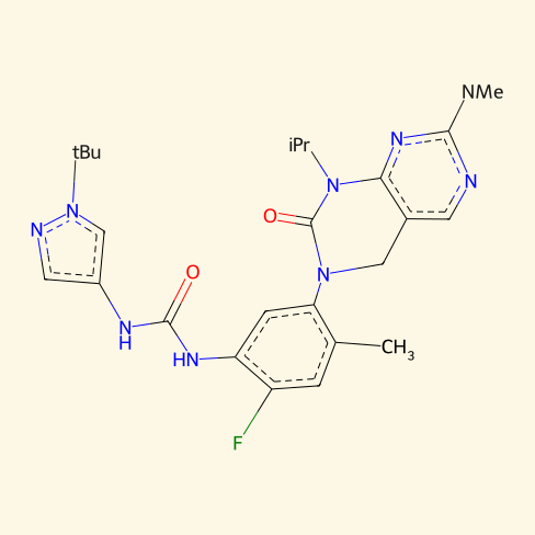 CNc1ncc2c(n1)N(C(C)C)C(=O)N(c1cc(NC(=O)Nc3cnn(C(C)(C)C)c3)c(F)cc1C)C2